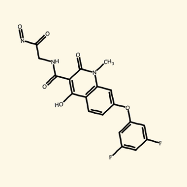 Cn1c(=O)c(C(=O)NCC(=O)N=O)c(O)c2ccc(Oc3cc(F)cc(F)c3)cc21